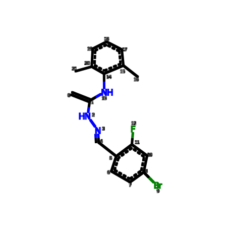 C=C(N/N=C/c1ccc(Br)cc1F)Nc1c(C)cccc1C